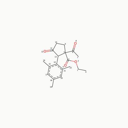 CCOC(=O)C1(C(C)=O)CCC(=O)C1c1c(C)cc(C)cc1C